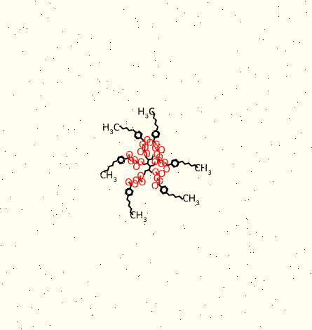 CCCCCCc1ccc(C(=O)OOC(=O)OCCC(COC(=O)OOC(=O)c2ccc(CCCCCC)cc2)C(COC(=O)OOC(=O)c2ccc(CCCCCC)cc2)C(COC(=O)OOC(=O)c2ccc(CCCCCC)cc2)C(CCOC(=O)OOC(=O)c2ccc(CCCCCC)cc2)COC(=O)OOC(=O)c2ccc(CCCCCC)cc2)cc1